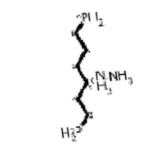 N.N.PCCCCCCP